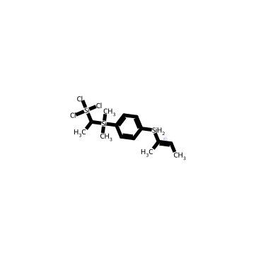 C/C=C(\C)[SiH2]c1ccc([Si](C)(C)C(C)[Si](Cl)(Cl)Cl)cc1